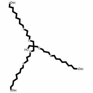 CCCCCCCCCCCCCCCCCCSCCCOCC(CO)(COCCCSCCCCCCCCCCCCCCCCCC)COCCCSCCCCCCCCCCCCCCCCCC